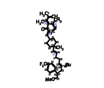 C=C(C)/C(C)=C(C(=O)/C=C/C1CCC(C)(/C=C/CC/C=C(/C[C@@H](COC)c2ccc(C(F)(F)F)cc2)[C@@H](C)CC)CC1)\C(C)=N/C